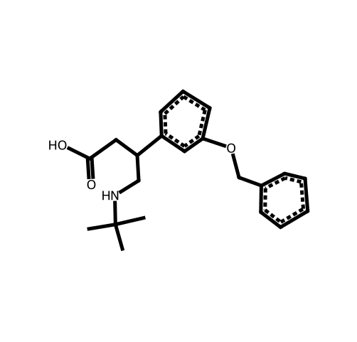 CC(C)(C)NCC(CC(=O)O)c1cccc(OCc2ccccc2)c1